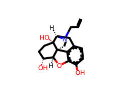 C=CCN1CC[C@]23c4c5ccc(O)c4O[C@H]2[C@H](O)CC[C@@]3(O)[C@H]1C5